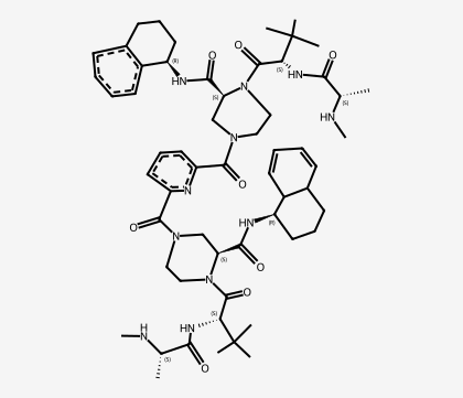 CN[C@@H](C)C(=O)N[C@H](C(=O)N1CCN(C(=O)c2cccc(C(=O)N3CCN(C(=O)[C@@H](NC(=O)[C@H](C)NC)C(C)(C)C)[C@H](C(=O)N[C@@H]4CCCC5C=CC=CC54)C3)n2)C[C@H]1C(=O)N[C@@H]1CCCc2ccccc21)C(C)(C)C